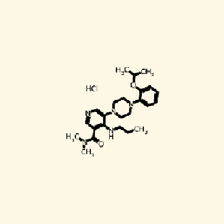 CCCNc1c(C(=O)N(C)C)cncc1N1CCN(c2ccccc2OC(C)C)CC1.Cl